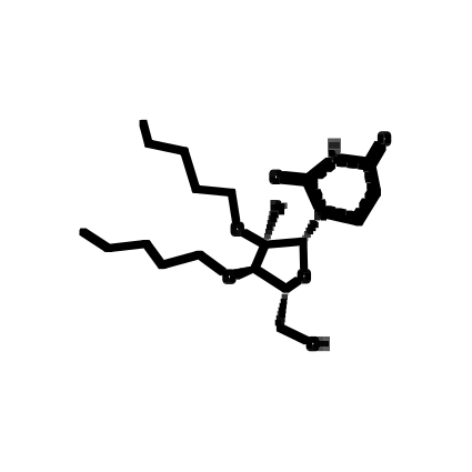 CCCCCO[C@@H]1[C@@H](CO)O[C@@H](n2ccc(=O)[nH]c2=O)[C@]1(Br)OCCCCC